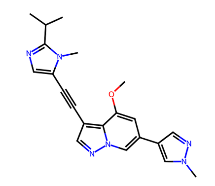 COc1cc(-c2cnn(C)c2)cn2ncc(C#Cc3cnc(C(C)C)n3C)c12